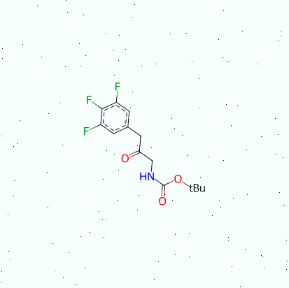 CC(C)(C)OC(=O)NCC(=O)Cc1cc(F)c(F)c(F)c1